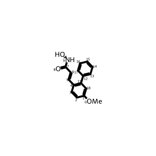 COc1ccc(/C=C/C(=O)NO)c(-c2ccccc2)c1